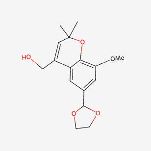 COc1cc(C2OCCO2)cc2c1OC(C)(C)C=C2CO